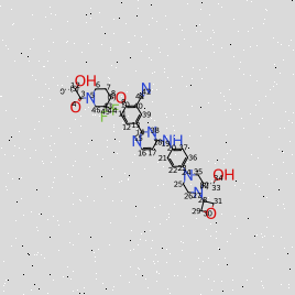 C[C@H](O)C(=O)N1CC[C@H](Oc2ccc(-c3nccc(Nc4ccc(N5CCN(C6COC6)[C@@H](CO)C5)cc4)n3)cc2C#N)C(F)(F)C1